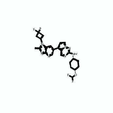 Cc1nc2ncc(-c3ccn4nc(N[C@H]5CC[C@@H](OC(F)F)CC5)ncc34)cc2n1C1CC(F)(F)C1